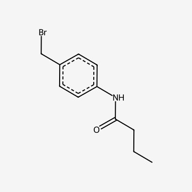 CCCC(=O)Nc1ccc(CBr)cc1